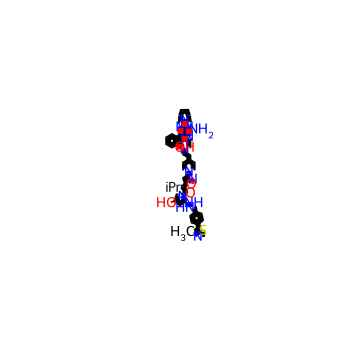 Cc1ncsc1-c1ccc(CNN[C@@H]2C[C@@H](O)CN2C(=O)C(c2cc(N3CCC(CCN4CCC(c5cnc(N6C7CCC6CN(c6cc(-c8ccccc8O)nnc6N)C7)nc5)CC4)CC3)no2)C(C)C)cc1